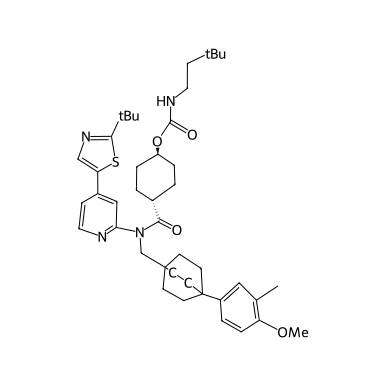 COc1ccc(C23CCC(CN(c4cc(-c5cnc(C(C)(C)C)s5)ccn4)C(=O)[C@H]4CC[C@H](OC(=O)NCCC(C)(C)C)CC4)(CC2)CC3)cc1C